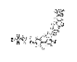 CCS(=O)(=O)N1CC(COc2cc(C)c(-c3ccc(F)c4c3CC[C@H]4Oc3ccc4c(c3)OCC4CC(=O)OC)c(C)c2)C1